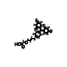 O=C(O)COCC=CCN1CCN(C(c2ccc(F)cc2F)c2ccc(F)cc2F)CC1